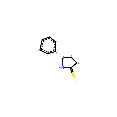 S=C1CC[C@@H](c2ccccc2)N1